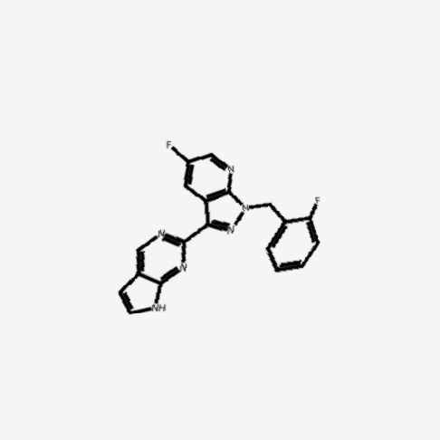 Fc1cnc2c(c1)c(-c1ncc3cc[nH]c3n1)nn2Cc1ccccc1F